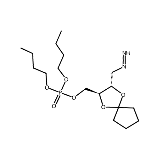 CCCCOP(=O)(OCCCC)OC[C@@H]1OC2(CCCC2)O[C@H]1CN=N